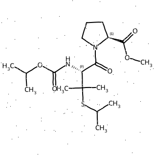 COC(=O)[C@@H]1CCCN1C(=O)[C@@H](NC(=O)OC(C)C)C(C)(C)SC(C)C